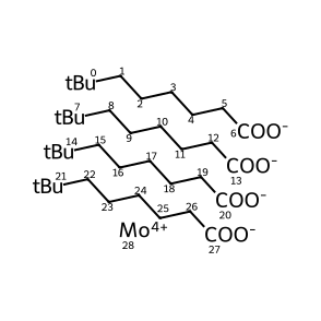 CC(C)(C)CCCCCC(=O)[O-].CC(C)(C)CCCCCC(=O)[O-].CC(C)(C)CCCCCC(=O)[O-].CC(C)(C)CCCCCC(=O)[O-].[Mo+4]